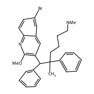 CNCCCCC(C)(c1ccccc1)C(c1ccccc1)c1cc2cc(Br)ccc2nc1OC